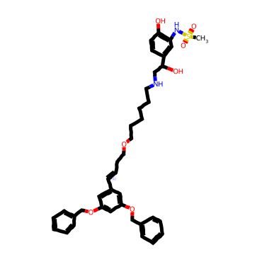 CS(=O)(=O)Nc1cc(C(O)CNCCCCCCOCC/C=C/c2cc(OCc3ccccc3)cc(OCc3ccccc3)c2)ccc1O